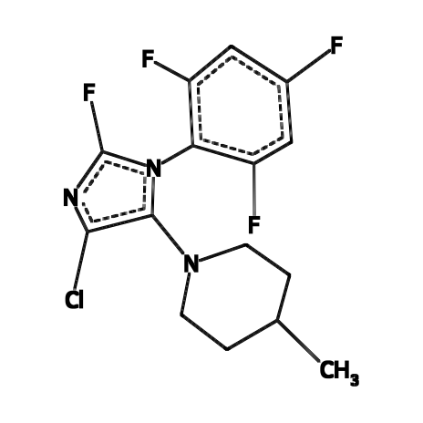 CC1CCN(c2c(Cl)nc(F)n2-c2c(F)cc(F)cc2F)CC1